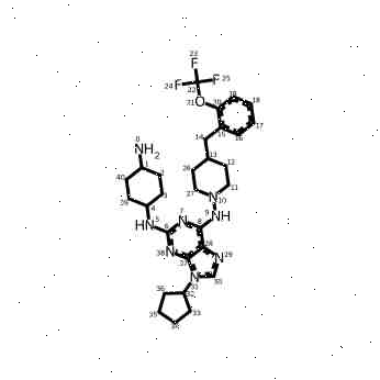 NC1CCC(Nc2nc(NN3CCC(Cc4ccccc4OC(F)(F)F)CC3)c3ncn(C4CCCC4)c3n2)CC1